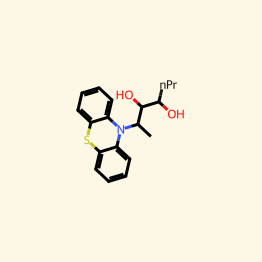 CCCC(O)C(O)C(C)N1c2ccccc2Sc2ccccc21